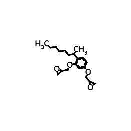 CCCCCCC(C)c1ccc(OCC2CO2)cc1OCC1CO1